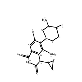 CCC1CCN(c2c(F)cc3c(=O)[nH]c(=O)n(C4CC4)c3c2OC)CC1N